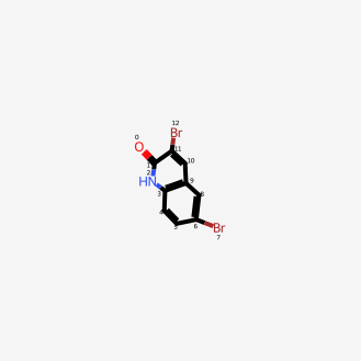 O=c1[nH]c2ccc(Br)cc2cc1Br